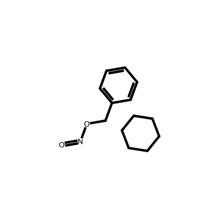 C1CCCCC1.O=NOCc1ccccc1